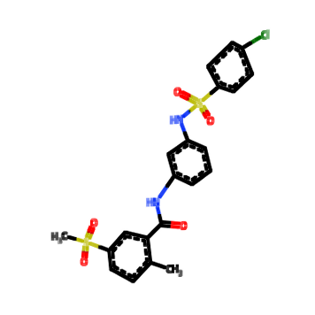 Cc1ccc(S(C)(=O)=O)cc1C(=O)Nc1cccc(NS(=O)(=O)c2ccc(Cl)cc2)c1